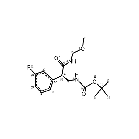 COCNC(=O)[C@@H](CNC(=O)OC(C)(C)C)c1cccc(F)c1